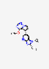 CCCOc1ncnn2ccc(-c3cnc4nc(C)n(C5CC5)c4c3)c12